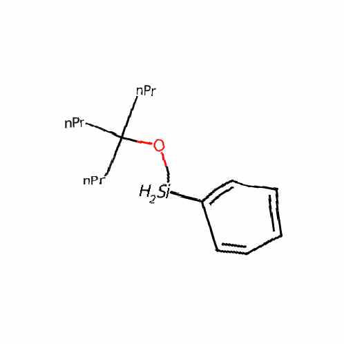 CCCC(CCC)(CCC)O[SiH2]c1ccccc1